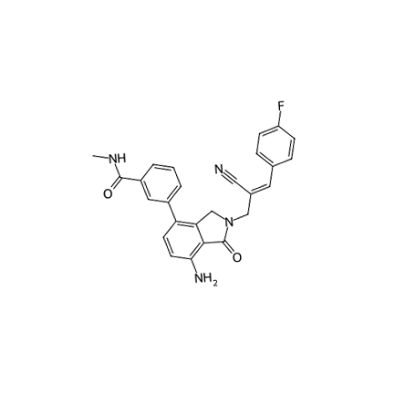 CNC(=O)c1cccc(-c2ccc(N)c3c2CN(C/C(C#N)=C/c2ccc(F)cc2)C3=O)c1